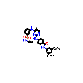 COc1cc(NC(=O)c2ccc(Nc3ncc(C)c(Nc4cccc(S(=O)(=O)NC(C)(C)C)c4)n3)cc2)cc(OC)c1